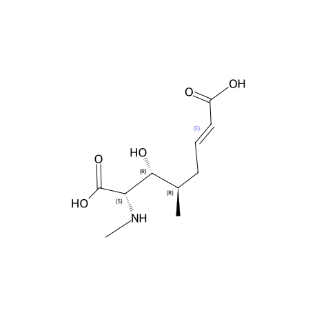 CN[C@H](C(=O)O)[C@H](O)[C@H](C)C/C=C/C(=O)O